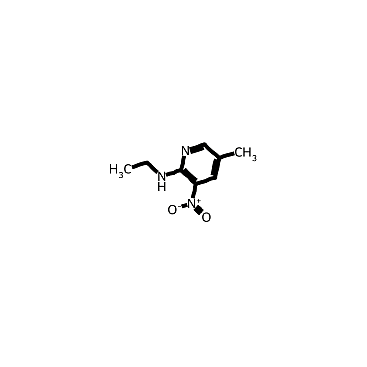 CCNc1ncc(C)cc1[N+](=O)[O-]